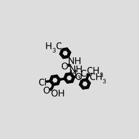 Cc1ccc(NC(=O)Nc2cc(-c3ccc(Cl)c(C(=O)O)c3)ccc2Oc2ccccc2C(C)(C)C)cc1